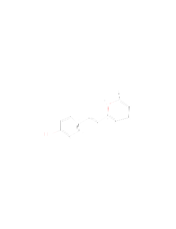 CC1=CCC=C(C=Cc2ccc(O)cc2)O1